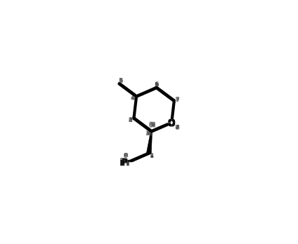 CC(C)C[C@H]1CC(C)CCO1